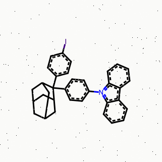 Ic1ccc(C2(c3ccc(-n4c5ccccc5c5ccccc54)cc3)C3CC4CC(C3)CC2C4)cc1